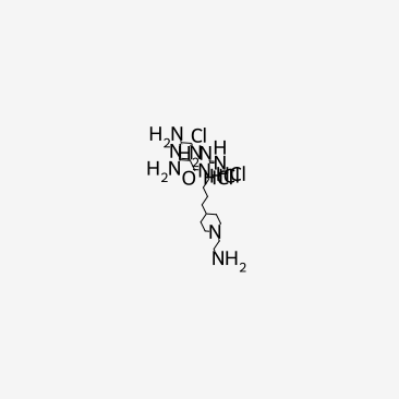 Cl.Cl.Cl.N=C(N)N(CCCCC1CCN(CCN)CC1)C(=O)c1nc(Cl)c(N)nc1N